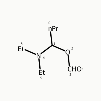 CCCC(O[C]=O)N(CC)CC